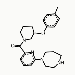 Cc1ccc(OC2CCCN(C(=O)c3cccc(N4CCCNCC4)n3)C2)cc1